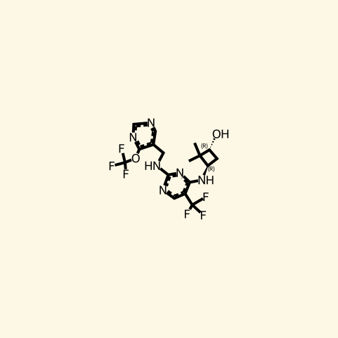 CC1(C)[C@H](O)C[C@H]1Nc1nc(NCc2cncnc2OC(F)(F)F)ncc1C(F)(F)F